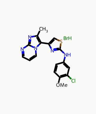 Br.COc1ccc(Nc2nc(-c3c(C)nc4ncccn34)cs2)cc1Cl